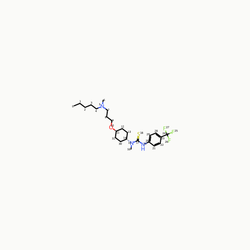 CCCCCN(C)CCCO[C@H]1CC[C@H](N(C)C(=S)Nc2ccc(C(F)(F)F)cc2)CC1